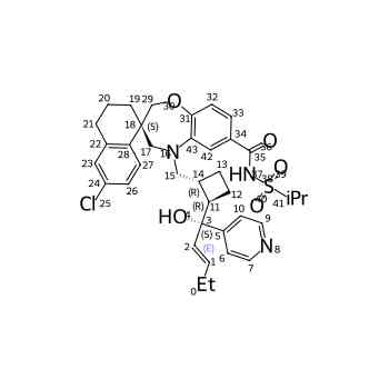 CC/C=C/[C@](O)(c1ccncc1)[C@@H]1CC[C@H]1CN1C[C@@]2(CCCc3cc(Cl)ccc32)COc2ccc(C(=O)NS(=O)(=O)C(C)C)cc21